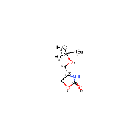 CC(C)(C)[Si](C)(C)OC[C@H]1COC(=O)N1